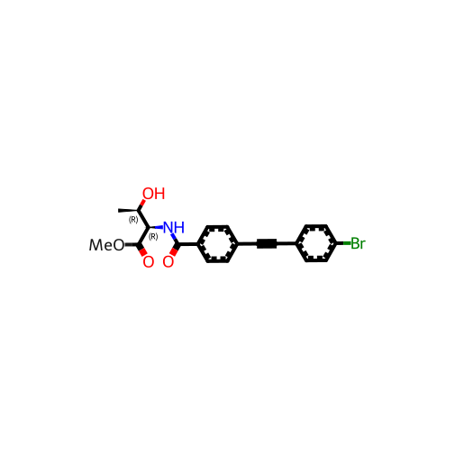 COC(=O)[C@H](NC(=O)c1ccc(C#Cc2ccc(Br)cc2)cc1)[C@@H](C)O